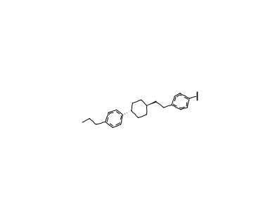 CCCc1ccc([C@H]2CC[C@H](CCc3ccc(I)cc3)CC2)cc1